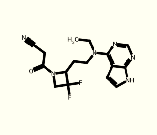 CCN(CCC1N(C(=O)CC#N)CC1(F)F)c1ncnc2[nH]ccc12